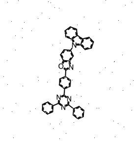 c1ccc(-c2nc(-c3ccccc3)nc(-c3ccc(-c4nc5cc(-n6c7ccccc7c7ccccc76)ccc5o4)cc3)n2)cc1